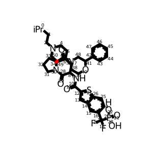 CC(C)CCN1CCC(CC(NC(=O)c2cc3cc(C(F)(F)P(=O)(O)O)ccc3s2)C(=O)N2CCCC2C(=O)N2CCOC(c3ccccc3)C2)CC1